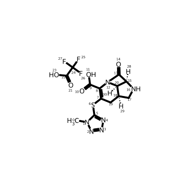 Cn1nnnc1SC1=C(C(=O)O)N2C(=O)[C@H]3NC[C@@H](C1)[C@H]32.O=C(O)C(F)(F)F